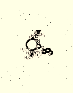 C[C@H]1CCC=C[C@@H]2C[C@@]2(C(=O)NS(=O)(=O)C2(C)CC2)NC(=O)[C@@H]2C[C@@H](Oc3nccc4c5c(ccc34)CCO5)CN2C(=O)[C@@H](N(C(=O)O)C(C)(C)C(C)(F)F)[C@H](C)C1